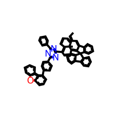 C\C=C/C=C1\C(=C2\C=CC(c3nc(-c4ccccc4)nc(-c4ccc(-c5cccc6oc7ccccc7c56)cc4)n3)=C3C=CC=CC32C)C2(c3ccccc31)c1ccccc1-c1ccccc12